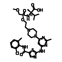 COCP(=O)(N[C@](C)(C(=O)O)C(C)C)OCCN1CCN(c2cc(Nc3ncc(C(=O)Nc4c(C)cccc4Cl)s3)nc(C)n2)CC1